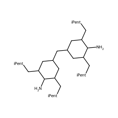 CCCC(C)CC1CC(CC2CC(CC(C)CCC)C(N)C(CC(C)CCC)C2)CC(CC(C)CCC)C1N